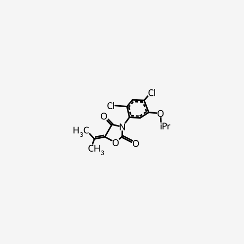 CC(C)=C1OC(=O)N(c2cc(OC(C)C)c(Cl)cc2Cl)C1=O